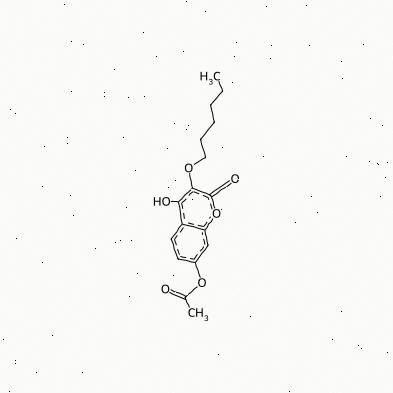 CCCCCCOc1c(O)c2ccc(OC(C)=O)cc2oc1=O